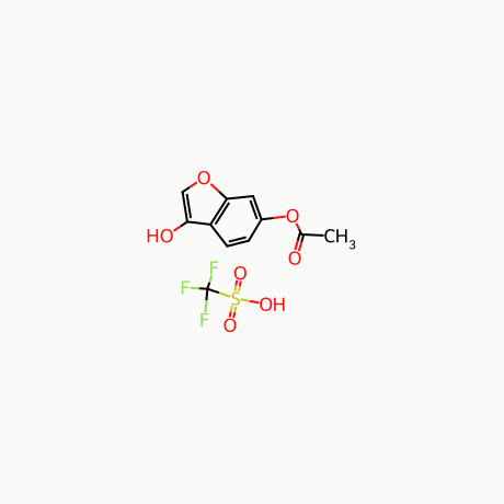 CC(=O)Oc1ccc2c(O)coc2c1.O=S(=O)(O)C(F)(F)F